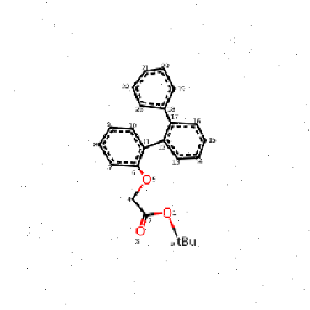 CC(C)(C)OC(=O)COc1ccccc1-c1ccccc1-c1ccccc1